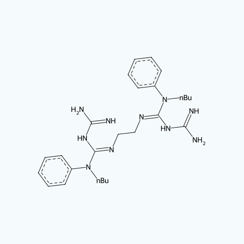 CCCCN(/C(=N/CC/N=C(\NC(=N)N)N(CCCC)c1ccccc1)NC(=N)N)c1ccccc1